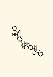 O=C(Nc1ccc(-c2ncc(-c3ccc(NC(=O)C4CCCCC4)cc3)[nH]2)cc1)c1ccccn1